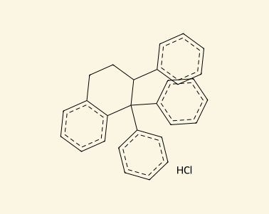 Cl.c1ccc(C2CCc3ccccc3C2(c2ccccc2)c2ccccc2)cc1